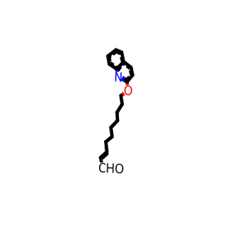 O=C/C=C/CCCCCCCOc1ccc2ccccc2n1